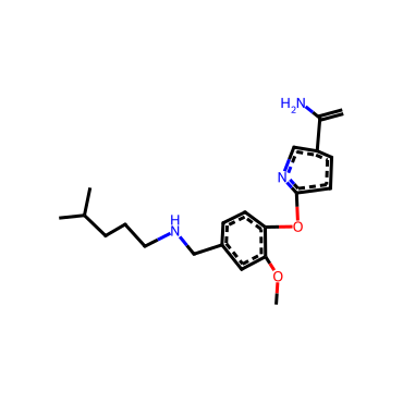 C=C(N)c1ccc(Oc2ccc(CNCCCC(C)C)cc2OC)nc1